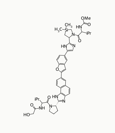 COC(=O)NC(C(=O)N1C[Si](C)(C)CC1c1ncc(-c2ccc3oc(-c4ccc5c(ccc6nc([C@@H]7CCCN7C(=O)C(NC(=O)CO)C(C)C)[nH]c65)c4)cc3c2)[nH]1)C(C)C